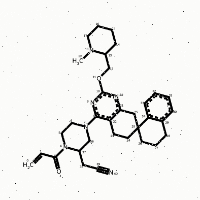 C=CC(=O)N1CCN(c2nc(OCC3CCCCN3C)nc3c2CCC2(CCCc4ccccc42)C3)CC1CC#N